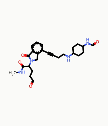 CNC(=O)C(CCC=O)N1Cc2c(C#CCCNC3CCC(NC=O)CC3)cccc2C1=O